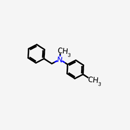 Cc1ccc(N(C)Cc2ccccc2)cc1